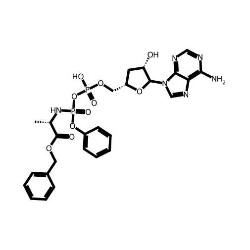 C[C@H](NP(=O)(Oc1ccccc1)OP(=O)(O)OC[C@@H]1C[C@H](O)C(n2cnc3c(N)ncnc32)O1)C(=O)OCc1ccccc1